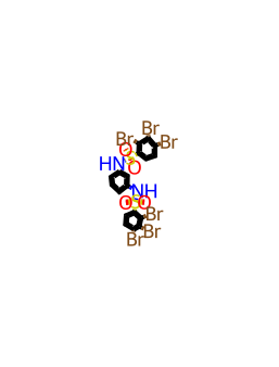 O=S(=O)(Nc1cccc(NS(=O)(=O)c2ccc(Br)c(Br)c2Br)c1)c1ccc(Br)c(Br)c1Br